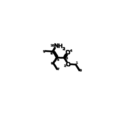 CCOC(=O)/C(CC)=C(/C)N